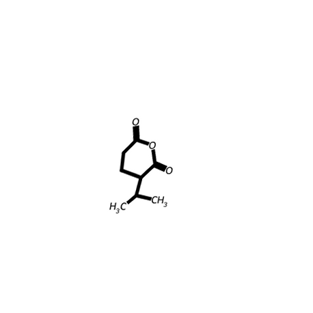 CC(C)C1CCC(=O)OC1=O